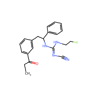 CCC(=O)c1cccc(CC(N/C(=N/C#N)NCCF)c2ccccc2)c1